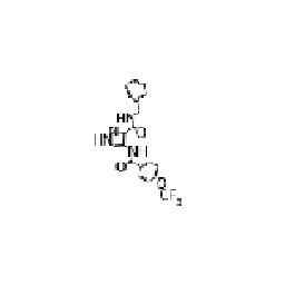 O=C(Nc1c[nH]nc1C(=O)NCc1ccccc1)c1ccc(OC(F)(F)F)cc1